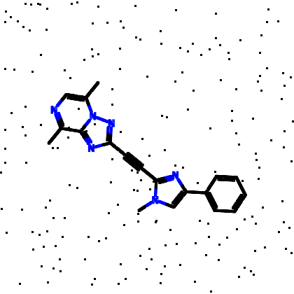 Cc1ncc(C)n2nc(C#Cc3nc(-c4ccccc4)cn3C)nc12